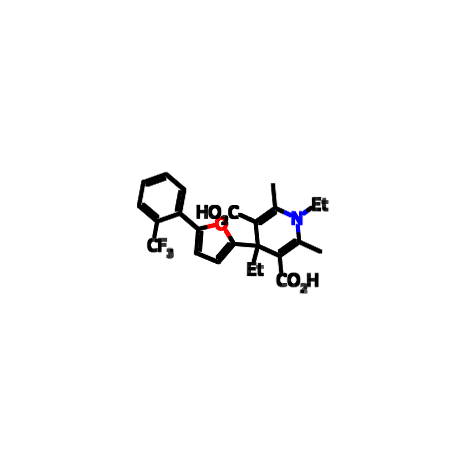 CCN1C(C)=C(C(=O)O)C(CC)(c2ccc(-c3ccccc3C(F)(F)F)o2)C(C(=O)O)=C1C